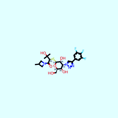 CC1CN(C(=O)[C@H](S[C@@H]2O[C@H](CO)[C@H](O)[C@H](n3cc(-c4cc(F)c(F)c(F)c4)nn3)[C@H]2O)C(C)(C)O)C1